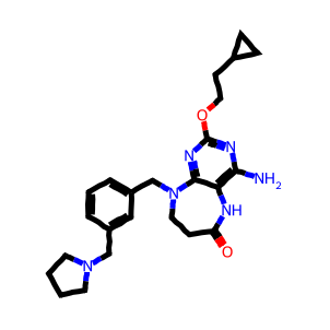 Nc1nc(OCCC2CC2)nc2c1NC(=O)CCN2Cc1cccc(CN2CCCC2)c1